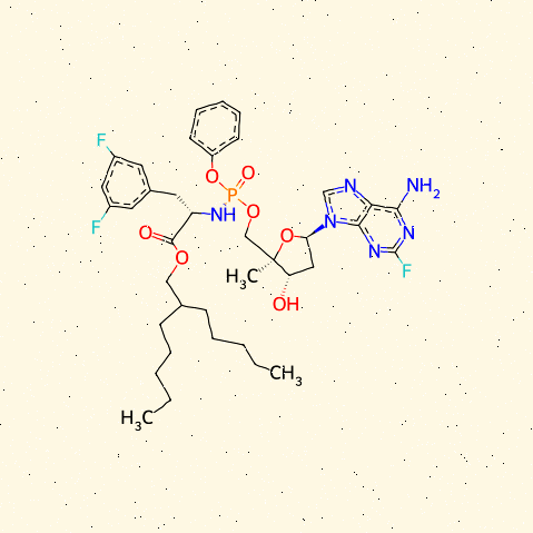 CCCCCC(CCCCC)COC(=O)[C@H](Cc1cc(F)cc(F)c1)N[P@](=O)(OC[C@@]1(C)O[C@@H](n2cnc3c(N)nc(F)nc32)C[C@@H]1O)Oc1ccccc1